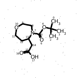 CC(C)(C)OC(=O)N1CCOCCC1CC(=O)O